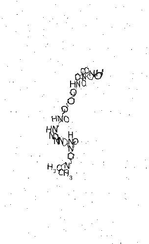 CC1(C)CCN(Cc2ccc(N3CC(=O)NC4(CCN(c5cc(NCCCNC(=O)C=COCCOCCOCCNc6cccc7c6C(=O)N(C6CCC(=O)NC6=O)C7=O)ncn5)CC4)C3)cc2)CC1